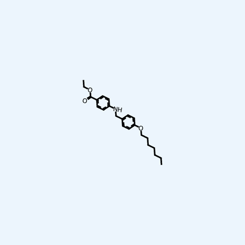 CCCCCCCOc1ccc(CNc2ccc(C(=O)OCC)cc2)cc1